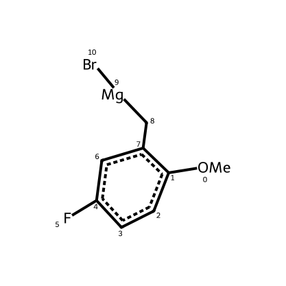 COc1ccc(F)cc1[CH2][Mg][Br]